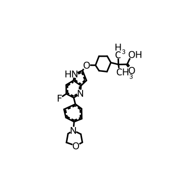 CC(C)(C(=O)O)C1CCC(Oc2cc3nc(-c4ccc(N5CCOCC5)cc4)c(F)cc3[nH]2)CC1